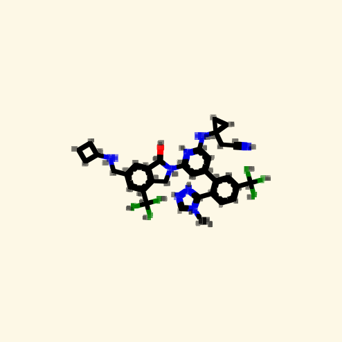 Cn1cnnc1-c1ccc(C(F)(F)F)cc1-c1cc(NC2(CC#N)CC2)nc(N2Cc3c(cc(CNC4CCC4)cc3C(F)(F)F)C2=O)c1